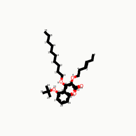 CCC=CCCOc1c(OCCCCCCCCCC)c2c(OC(C)(C)C)cccc2oc1=O